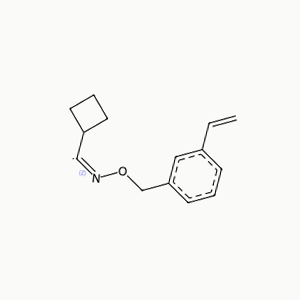 C=Cc1cccc(CO/N=[C]\C2CCC2)c1